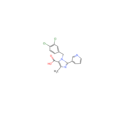 Cc1nc(-c2cccnc2)n(Cc2ccc(Cl)c(Cl)c2)c1C(=O)O